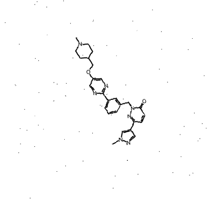 CN1CCC(COc2cnc(-c3cccc(Cn4nc(-c5cnn(C)c5)ccc4=O)c3)nc2)CC1